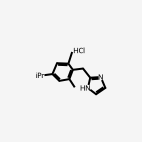 Cc1cc(C(C)C)cc(C)c1Cc1ncc[nH]1.Cl